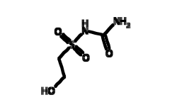 NC(=O)NS(=O)(=O)CCO